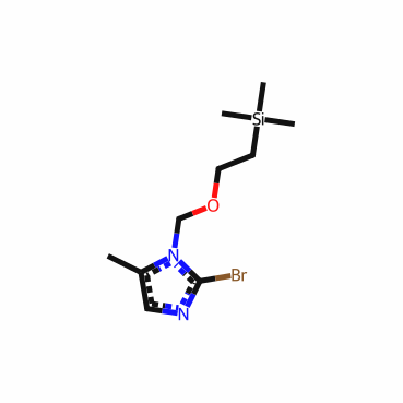 Cc1cnc(Br)n1COCC[Si](C)(C)C